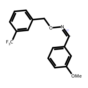 COc1cccc(/[C]=N\OCc2cccc(C(F)(F)F)c2)c1